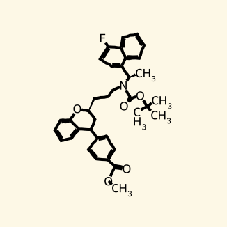 COC(=O)c1ccc(C2C[C@H](CCCN(C(=O)OC(C)(C)C)[C@H](C)c3ccc(F)c4ccccc34)Oc3ccccc32)cc1